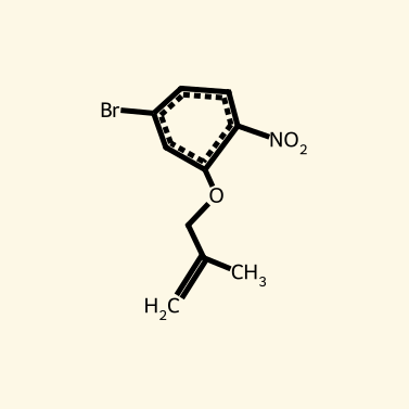 C=C(C)COc1cc(Br)ccc1[N+](=O)[O-]